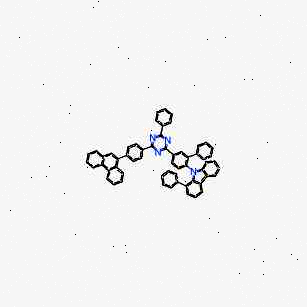 c1ccc(-c2nc(-c3ccc(-c4cc5ccccc5c5ccccc45)cc3)nc(-c3ccc(-n4c5ccccc5c5cccc(-c6ccccc6)c54)c(-c4ccccc4)c3)n2)cc1